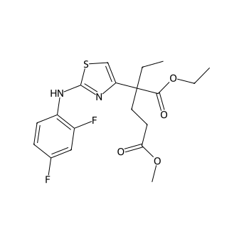 CCOC(=O)C(CC)(CCC(=O)OC)c1csc(Nc2ccc(F)cc2F)n1